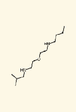 CCCCNCCOCCNCC(C)C